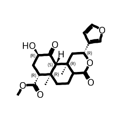 COC(=O)[C@@H]1C[C@@H](O)C(=O)[C@H]2[C@@]1(C)CCC1C(=O)O[C@@H](c3ccoc3)C[C@@]12C